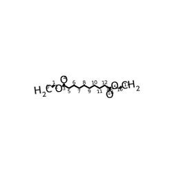 C=COC(=O)CCCCCCCCC(=O)OC=C